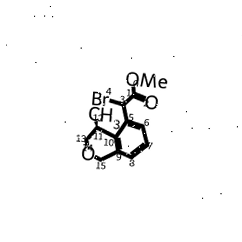 COC(=O)C(Br)c1cccc2c1[C@H](C)COC2